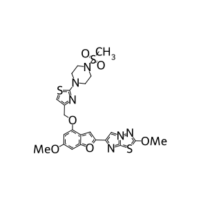 COc1cc(OCc2csc(N3CCN(S(C)(=O)=O)CC3)n2)c2cc(-c3cn4nc(OC)sc4n3)oc2c1